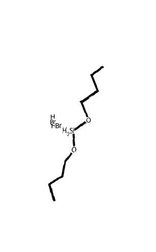 Br.Br.CCCCO[SiH2]OCCCC